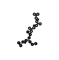 CC1(C)c2cc(N(c3ccc(-c4cccc(-c5ccccc5)c4)cc3)c3ccc(-c4ccc(C5CCC6C(C5)C5CCCCC5C6C5CCC6C7CCC(C(C8CCCCC8)C8CCC9C%10CCC(C%11C%12CCCCC%12C%12CCCCC%12%11)CC%10C(C)(C)C9C8)CC7C(C)(C)C6C5)c(-c5ccccc5)c4)cc3)ccc2-c2ccc(-n3c4ccccc4c4ccccc43)cc21